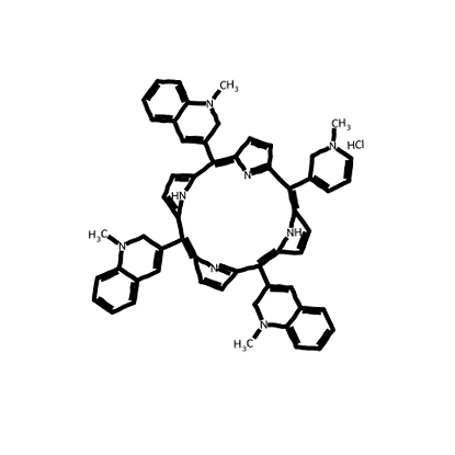 CN1C=CC=C(c2c3nc(c(C4=Cc5ccccc5N(C)C4)c4ccc([nH]4)c(C4=Cc5ccccc5N(C)C4)c4nc(c(C5=Cc6ccccc6N(C)C5)c5ccc2[nH]5)C=C4)C=C3)C1.Cl